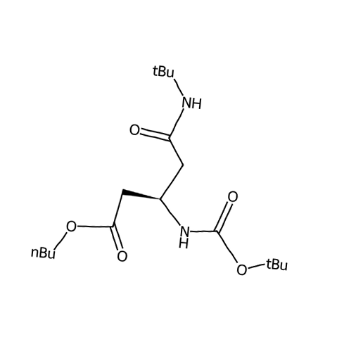 CCCCOC(=O)C[C@@H](CC(=O)NC(C)(C)C)NC(=O)OC(C)(C)C